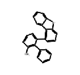 Cc1cccc(-c2cccc3oc4ccccc4c23)c1-c1ccccc1